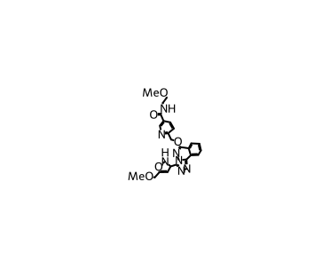 COCCNC(=O)c1ccc(COc2nn3c(C4C=C(COC)ON4)nnc3c3ccccc23)nc1